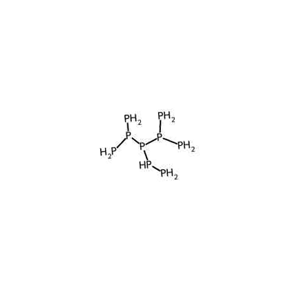 PPP(P(P)P)P(P)P